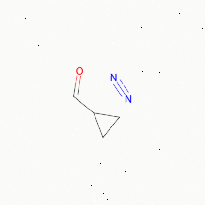 N#N.O=CC1CC1